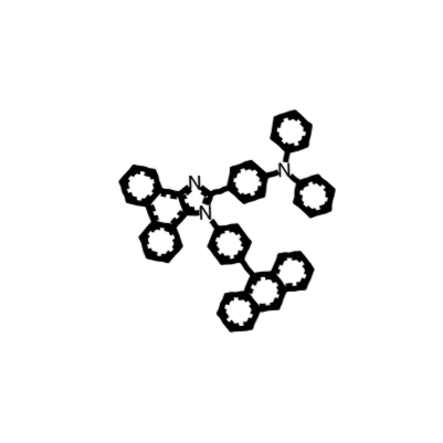 c1ccc(N(c2ccccc2)c2ccc(-c3nc4c5ccccc5c5ccccc5c4n3-c3ccc(-c4c5ccccc5cc5ccccc45)cc3)cc2)cc1